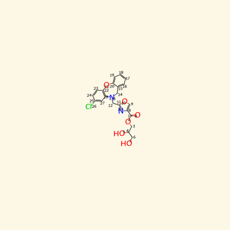 O=C(OCC(O)CO)c1coc(CN2Cc3ccccc3Oc3ccc(Cl)cc32)n1